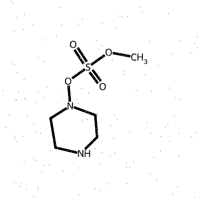 COS(=O)(=O)ON1CCNCC1